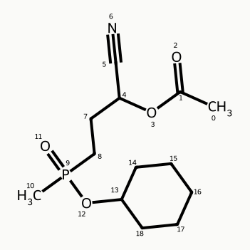 CC(=O)OC(C#N)CCP(C)(=O)OC1CCCCC1